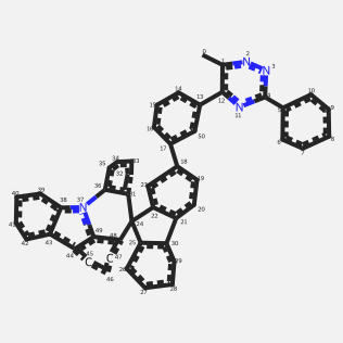 Cc1nnc(-c2ccccc2)nc1-c1cccc(-c2ccc3c(c2)C2(c4ccccc4-3)c3ccccc3-n3c4ccccc4c4cccc2c43)c1